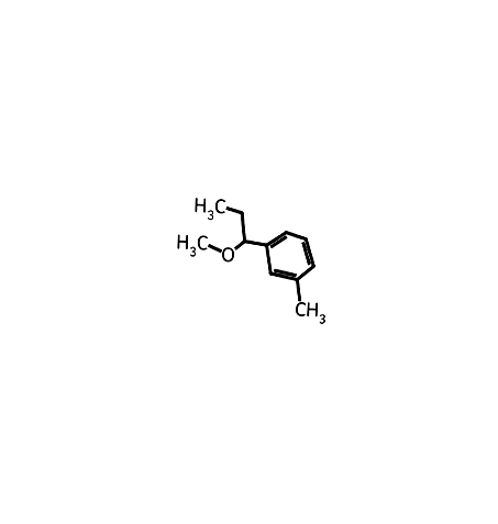 CCC(OC)c1cccc(C)c1